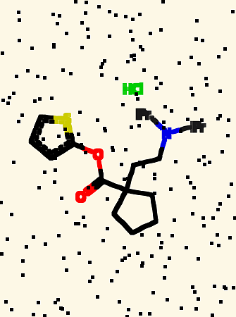 CC(C)N(CCC1(C(=O)Oc2cccs2)CCCC1)C(C)C.Cl